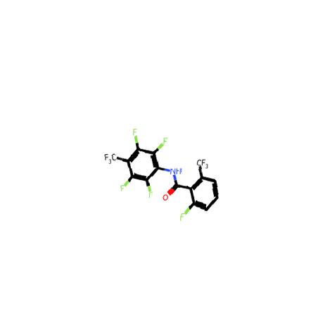 O=C(Nc1c(F)c(F)c(C(F)(F)F)c(F)c1F)c1c(F)cccc1C(F)(F)F